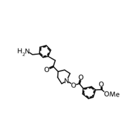 COC(=O)c1cccc(C(=O)ON2CCC(C(=O)Cc3cccc(CN)c3)CC2)c1